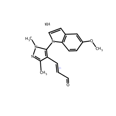 COc1ccc2c(ccn2-c2c(/C=C/C=O)c(C)nn2C)c1.[KH]